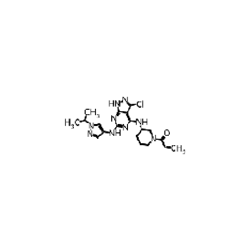 C=CC(=O)N1CCC[C@@H](Nc2nc(Nc3cnn(C(C)C)c3)nc3[nH]nc(Cl)c23)C1